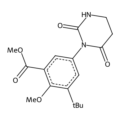 COC(=O)c1cc(N2C(=O)CCNC2=O)cc(C(C)(C)C)c1OC